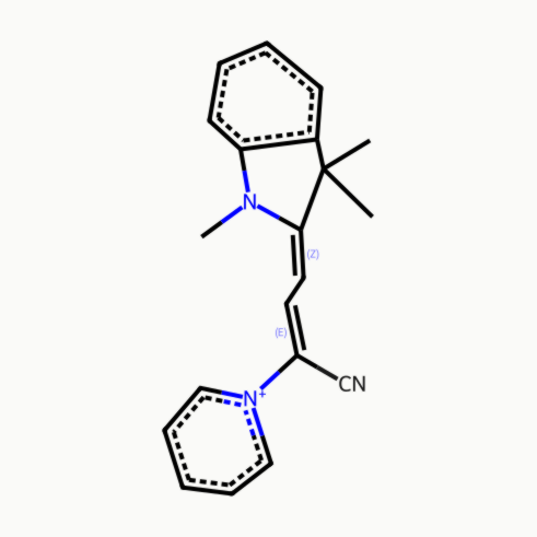 CN1/C(=C\C=C(/C#N)[n+]2ccccc2)C(C)(C)c2ccccc21